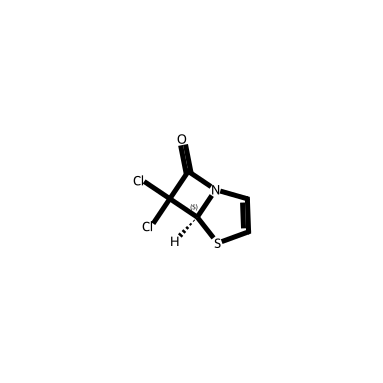 O=C1N2C=CS[C@H]2C1(Cl)Cl